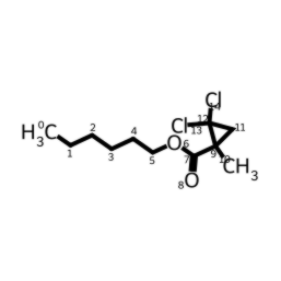 CCCCCCOC(=O)C1(C)CC1(Cl)Cl